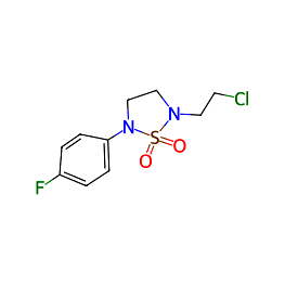 O=S1(=O)N(CCCl)CCN1c1ccc(F)cc1